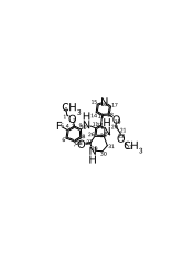 CCOc1c(F)cccc1Nc1c(-c2ccncc2OCCOC)[nH]c2c1C(=O)NCC2